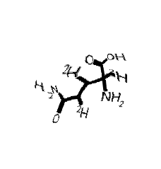 [2H]C(C(N)=O)C([2H])C([2H])(N)C(=O)O